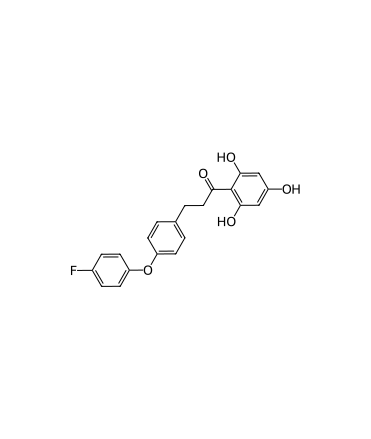 O=C(CCc1ccc(Oc2ccc(F)cc2)cc1)c1c(O)cc(O)cc1O